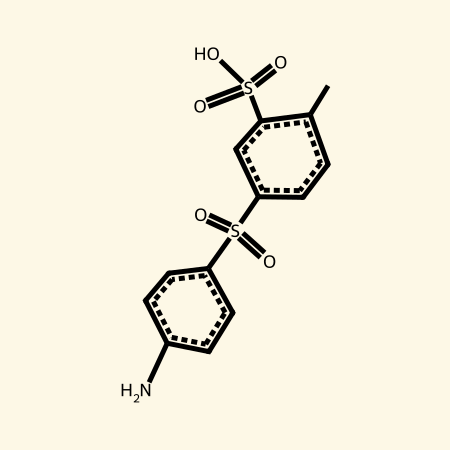 Cc1ccc(S(=O)(=O)c2ccc(N)cc2)cc1S(=O)(=O)O